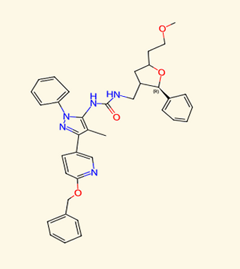 COCCC1CC(CNC(=O)Nc2c(C)c(-c3ccc(OCc4ccccc4)nc3)nn2-c2ccccc2)[C@H](c2ccccc2)O1